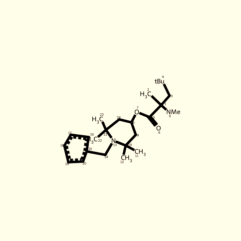 CNC(C)(CC(C)(C)C)C(=O)OC1CC(C)(C)N(Cc2ccccc2)C(C)(C)C1